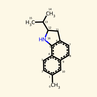 Cc1ccc2c3c(ccc2c1)CC(C(C)C)N3